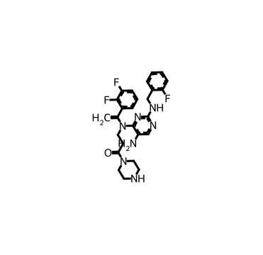 C=C(c1cccc(F)c1F)N(CCC(=O)N1CCNCC1)c1nc(NCc2ccccc2F)ncc1N